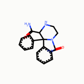 NC(=O)C1NCCN(C(N)=O)C1(c1ccccc1)c1ccccc1